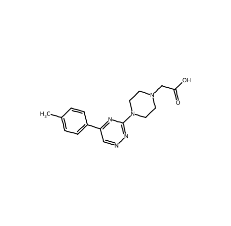 Cc1ccc(-c2cnnc(N3CCN(CC(=O)O)CC3)n2)cc1